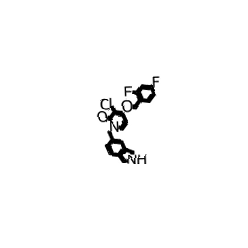 O=c1c(Cl)c(OCc2ccc(F)cc2F)ccn1Cc1ccc2c(c1)CNC2